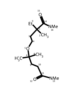 CCC(C)(CCOC(C)(C)CCC(=O)NC)C(=O)NC